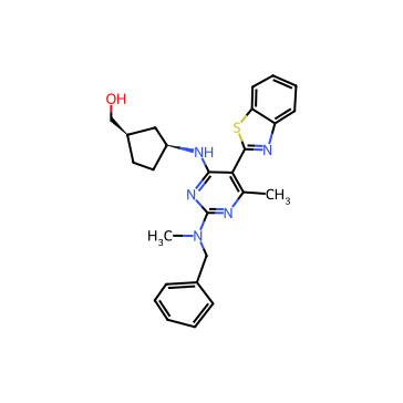 Cc1nc(N(C)Cc2ccccc2)nc(N[C@H]2CC[C@@H](CO)C2)c1-c1nc2ccccc2s1